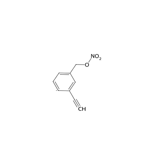 C#Cc1[c]ccc(CO[N+](=O)[O-])c1